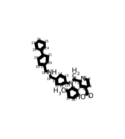 C=C(c1cc(C(=O)O)ccn1)N(c1ccc(CNCc2ccc(-c3ccccc3)cc2)cc1)c1ccccc1C